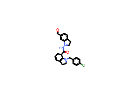 O=Cc1ccc2c(c1)N(NC(=O)C1CC=CC3=C1N(Cc1ccc(Cl)cc1)CC3)CC2